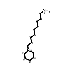 NCCCCCCCCCN1CCCCC1